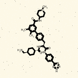 Cc1cc(C(=O)NC2CCN(C)CC2)cc(-c2ccc(C[C@H](NC(=O)[C@H]3CC[C@H](CN)CC3)C(=O)Nc3ccc(-c4nn[nH]n4)cc3)cc2)c1C